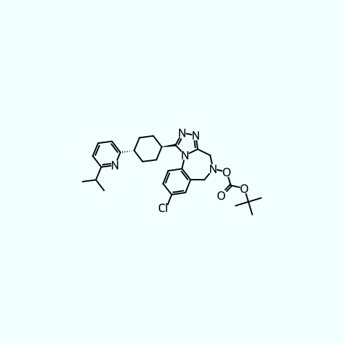 CC(C)c1cccc([C@H]2CC[C@H](c3nnc4n3-c3ccc(Cl)cc3CN(OC(=O)OC(C)(C)C)C4)CC2)n1